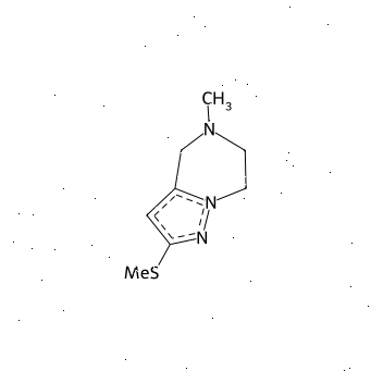 CSc1cc2n(n1)CCN(C)C2